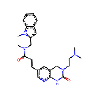 CN(C)CCN1Cc2cc(C=CC(=O)N(C)Cc3cc4ccccc4n3C)cnc2NC1=O